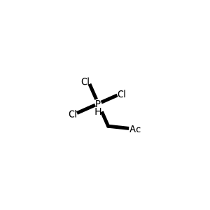 CC(=O)C[PH](Cl)(Cl)Cl